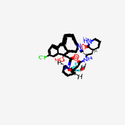 N#C[C@H](C[C@@H]1CCCNC1=O)NC(=O)[C@H]1[C@H]2CC[C@H](CC2(F)F)N1C(=O)[C@]1(O)c2ccccc2-c2ccc(Cl)cc21